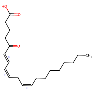 CCCCCCCC/C=C\C/C=C\C=C\C(=O)CCCC(=O)O